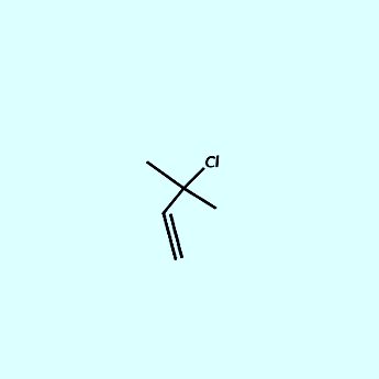 C=CC(C)(C)Cl